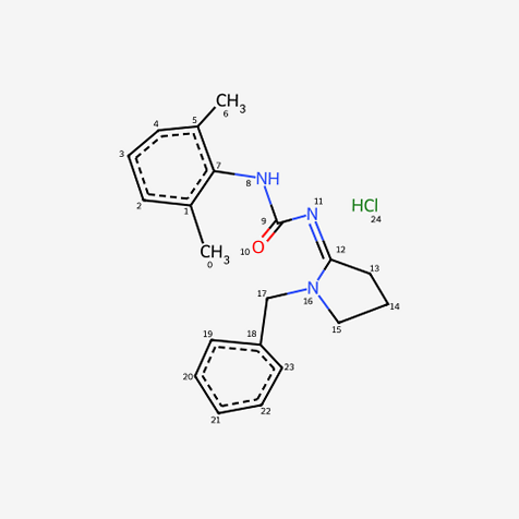 Cc1cccc(C)c1NC(=O)/N=C1/CCCN1Cc1ccccc1.Cl